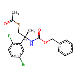 CC(=O)SC[C@](C)(NC(=O)OCc1ccccc1)c1cc(Br)ccc1F